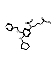 NC(=O)OCCN(c1ccc(NC2CCCCC2)c(NCc2ccncc2)c1)[SH](=O)=O